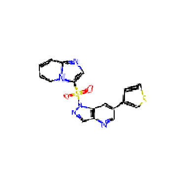 O=S(=O)(c1cnc2ccccn12)n1ncc2ncc(-c3ccsc3)cc21